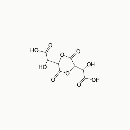 O=C(O)C(O)C1OC(=O)C(C(O)C(=O)O)OC1=O